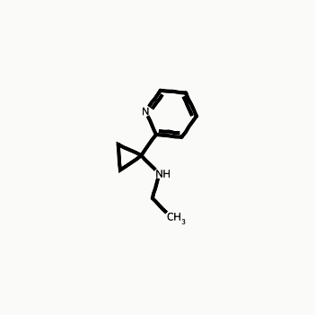 CCNC1(c2ccccn2)CC1